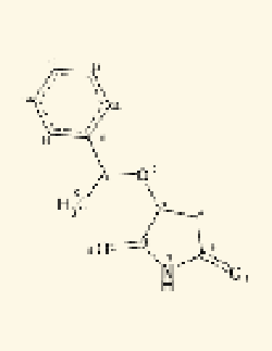 CC(OC1CC(=O)NC1=O)c1ccccc1